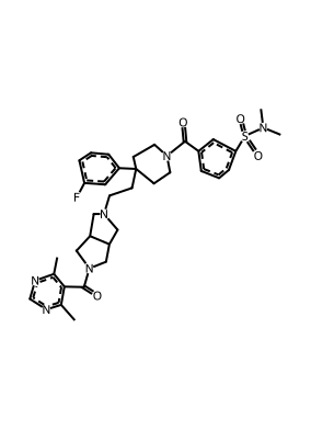 Cc1ncnc(C)c1C(=O)N1CC2CN(CCC3(c4cccc(F)c4)CCN(C(=O)c4cccc(S(=O)(=O)N(C)C)c4)CC3)CC2C1